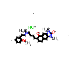 COc1ccccc1CCN(C)CCCCC1CCc2cc3c(cc2C1=O)n(C)c(=O)n3C.Cl